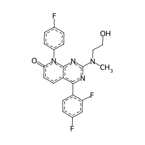 CN(CCO)c1nc(-c2ccc(F)cc2F)c2ccc(=O)n(-c3ccc(F)cc3)c2n1